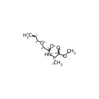 C=CCOCC(=O)N[C@@H](C)C(=O)OC